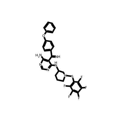 N=C(c1ccc(Oc2ccccc2)cc1)c1c(N)ncnc1NC1CCCN(Sc2c(F)c(F)c(F)c(F)c2F)C1